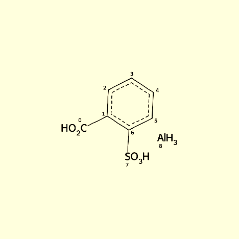 O=C(O)c1ccccc1S(=O)(=O)O.[AlH3]